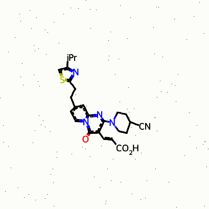 CC(C)c1csc(CCc2ccn3c(=O)c(C=CC(=O)O)c(N4CCC(C#N)CC4)nc3c2)n1